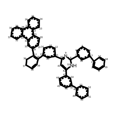 C1=C=C(c2cccc(C3N=C(c4cccc(C5=C(c6ccc7c8ccccc8c8ccccc8c7c6)CCC=C5)c4)C=C(c4cccc(-c5ccccc5)c4)N3)c2)C=CC=1